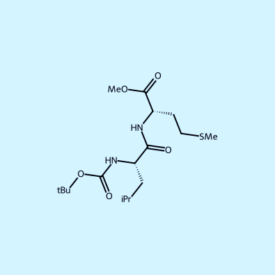 COC(=O)[C@H](CCSC)NC(=O)[C@H](CC(C)C)NC(=O)OC(C)(C)C